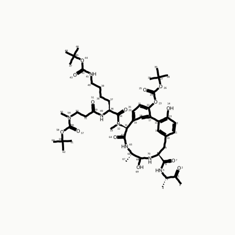 CC(=O)[C@H](C)NC(=O)[C@@H]1Cc2ccc(O)c(c2)-c2cc(ccc2OC(=O)OC(C)(C)C)[C@H](N(C)C(=O)[C@H](CCCCNC(=O)OC(C)(C)C)NC(=O)CCN(C)C(=O)OC(C)(C)C)C(=O)N[C@@H](C)C(O)N1